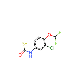 O=C(S)Nc1ccc(OC(F)F)c(Cl)c1